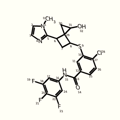 Cn1ccnc1C1CC(Sc2cc(C(=O)Nc3cc(F)c(F)c(F)c3)ccc2Cl)C12CC2O